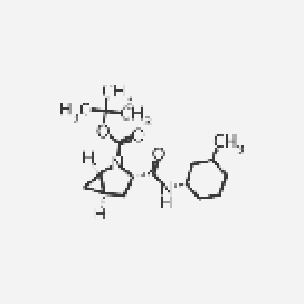 C[C@H]1CCC[C@H](NC(=O)[C@@H]2C[C@H]3C[C@H]3N2C(=O)OC(C)(C)C)C1